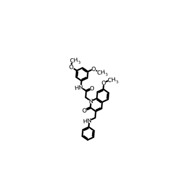 COc1cc(NC(=O)Cn2c(=O)c(CNc3ccccc3)cc3ccc(OC)cc32)cc(OC)c1